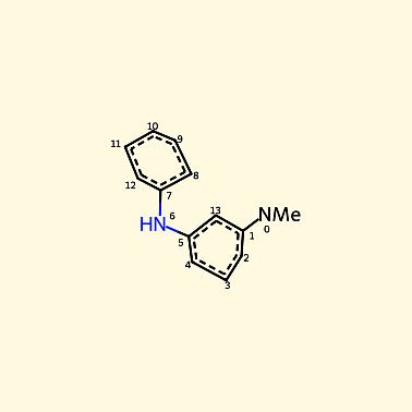 CNc1cccc(Nc2ccccc2)c1